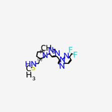 CSNC[C@H]1CC[C@@H](C)N(c2cc(-c3cnc4ccc(C(F)F)nn34)ncn2)C1